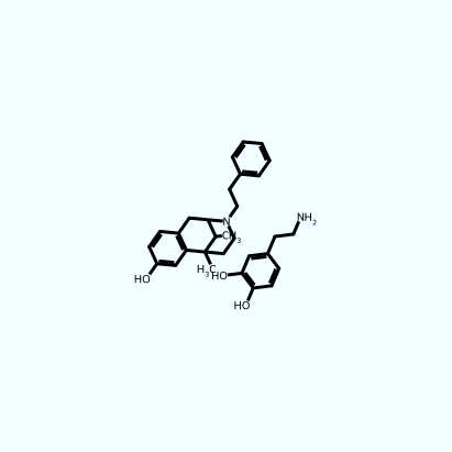 CC1C2Cc3ccc(O)cc3C1(C)CCN2CCc1ccccc1.NCCc1ccc(O)c(O)c1